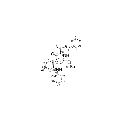 C[C@@H](OCc1ccccc1)[C@H](NC(=O)OC(C)(C)C)C(=O)Nc1ccc(F)cc1Nc1ccccc1